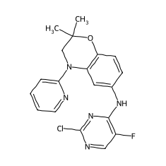 CC1(C)CN(c2ccccn2)c2cc(Nc3nc(Cl)ncc3F)ccc2O1